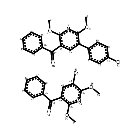 COc1nc(OC)c(-c2ccc(Cl)cc2)cc1C(=O)c1ccccc1.COc1nc(OC)c(C(=O)c2ccccc2)cc1Br